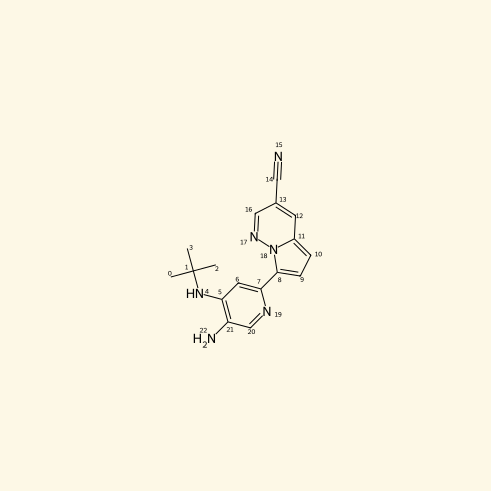 CC(C)(C)Nc1cc(-c2ccc3cc(C#N)cnn23)ncc1N